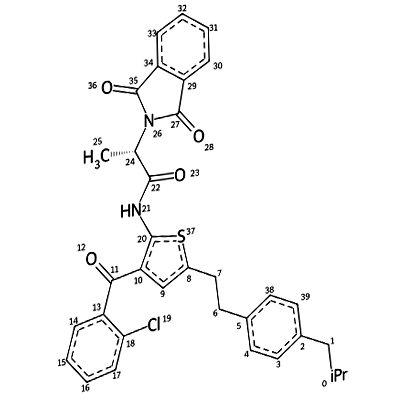 CC(C)Cc1ccc(CCc2cc(C(=O)c3ccccc3Cl)c(NC(=O)[C@H](C)N3C(=O)c4ccccc4C3=O)s2)cc1